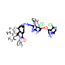 CN1C(=O)c2cc(Nc3nc4ncc(Oc5cnn6ccnc(Cl)c56)c(Cl)c4n3C)cc(C(F)(F)F)c2C1(C)C